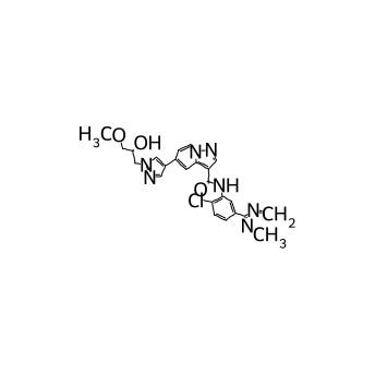 C=N/C(=N\C)c1ccc(Cl)c(NC(=O)c2cnn3ccc(-c4cnn(C[C@H](O)COC)c4)cc23)c1